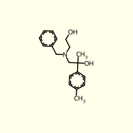 Cc1ccc(C(C)(O)CN(CCO)Cc2ccccc2)cc1